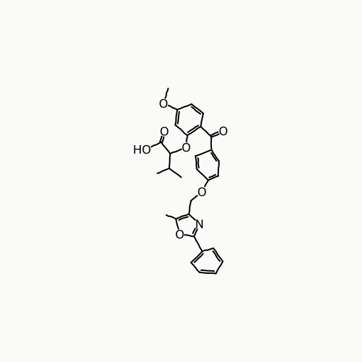 COc1ccc(C(=O)c2ccc(OCc3nc(-c4ccccc4)oc3C)cc2)c(OC(C(=O)O)C(C)C)c1